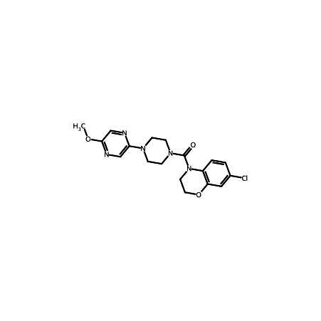 COc1cnc(N2CCN(C(=O)N3CCOc4cc(Cl)ccc43)CC2)cn1